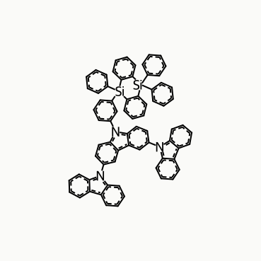 c1ccc([Si]2(c3ccccc3)c3ccccc3[Si](c3ccccc3)(c3cccc(-n4c5ccc(-n6c7ccccc7c7ccccc76)cc5c5cc(-n6c7ccccc7c7ccccc76)ccc54)c3)c3ccccc32)cc1